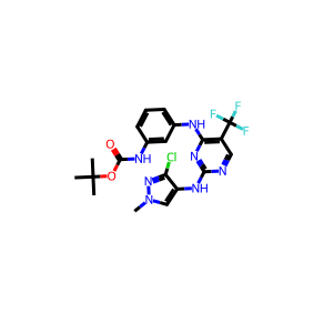 Cn1cc(Nc2ncc(C(F)(F)F)c(Nc3cccc(NC(=O)OC(C)(C)C)c3)n2)c(Cl)n1